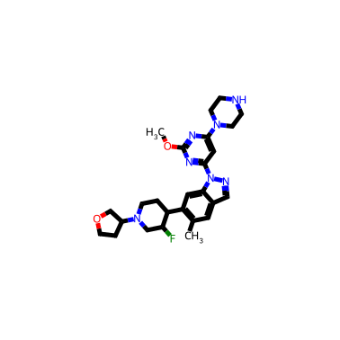 COc1nc(N2CCNCC2)cc(-n2ncc3cc(C)c(C4CCN(C5CCOC5)CC4F)cc32)n1